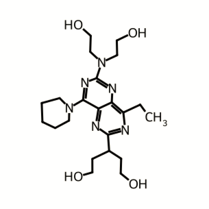 CCc1nc(C(CCO)CCO)nc2c(N3CCCCC3)nc(N(CCO)CCO)nc12